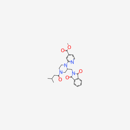 COC(=O)c1ccnc(N2CCN(C(=O)CC(C)C)CC2CN2C(=O)c3ccccc3C2=O)c1